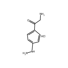 Cl.NCC(=O)c1ccc(NN)cc1